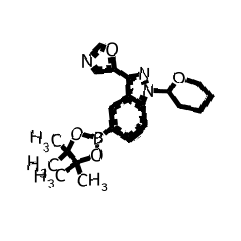 CC1(C)OB(c2ccc3c(c2)c(-c2cnco2)nn3C2CCCCO2)OC1(C)C